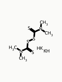 CN(C)C(=S)SSC(=S)N(C)C.[KH].[KH]